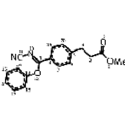 COC(=O)CCc1ccc(C(=NC#N)Oc2ccccc2)cc1